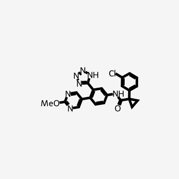 COc1ncc(-c2ccc(NC(=O)C3(c4cccc(Cl)c4)CC3)cc2-c2nnn[nH]2)cn1